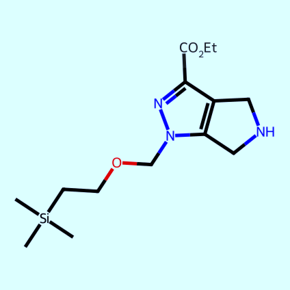 CCOC(=O)c1nn(COCC[Si](C)(C)C)c2c1CNC2